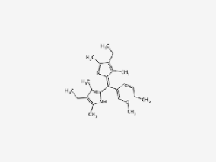 CC\C=C/C(=C\OC)C(=C1/N=C(C)C(CC)=C1C)/c1[nH]c(C)c(CC)c1C